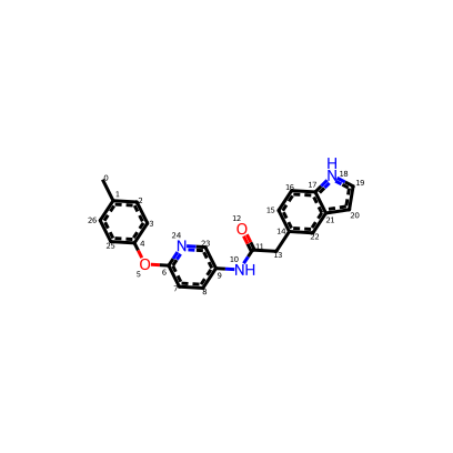 Cc1ccc(Oc2ccc(NC(=O)Cc3ccc4[nH]ccc4c3)cn2)cc1